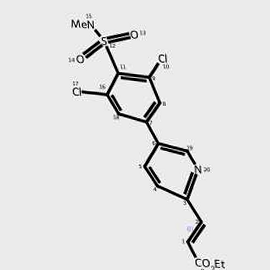 CCOC(=O)/C=C/c1ccc(-c2cc(Cl)c(S(=O)(=O)NC)c(Cl)c2)cn1